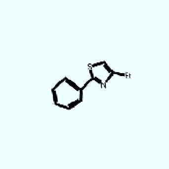 CCc1csc(-c2cc[c]cc2)n1